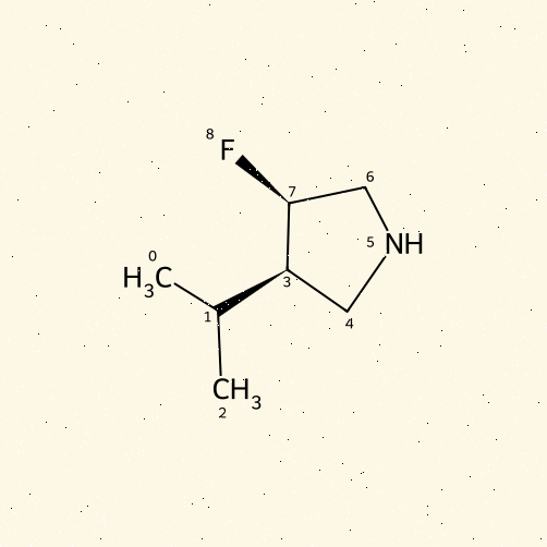 CC(C)[C@@H]1CNC[C@@H]1F